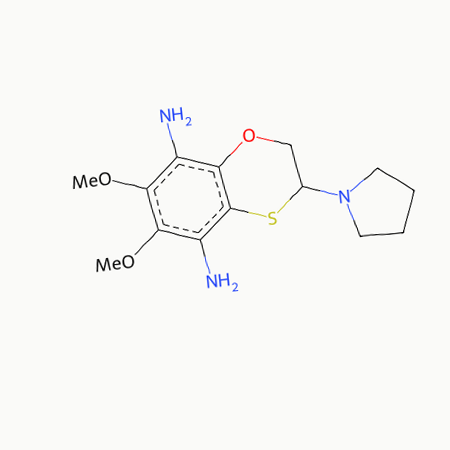 COc1c(N)c2c(c(N)c1OC)SC(N1CCCC1)CO2